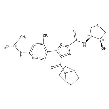 C[C@H](Nc1cc(C(F)(F)F)c(-c2sc(C(=O)N[C@H]3COC[C@H]3O)nc2C(=O)N2C3CCC2CC3)cn1)C(F)(F)F